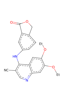 CCOc1cc2ncc(C#N)c(Nc3ccc4c(c3)C(=O)OC4)c2cc1OCC